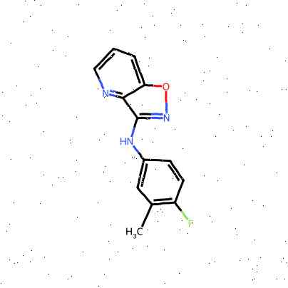 Cc1cc(Nc2noc3cccnc23)ccc1F